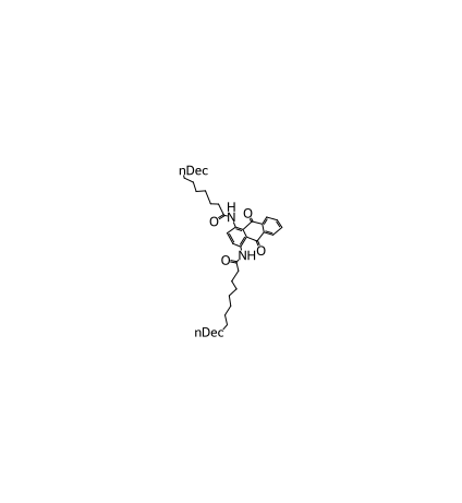 CCCCCCCCCCCCCCCCCC(=O)Nc1ccc(NC(=O)CCCCCCCCCCCCCCCC)c2c1C(=O)c1ccccc1C2=O